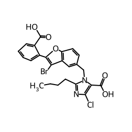 CCCCc1nc(Cl)c(C(=O)O)n1Cc1ccc2oc(-c3ccccc3C(=O)O)c(Br)c2c1